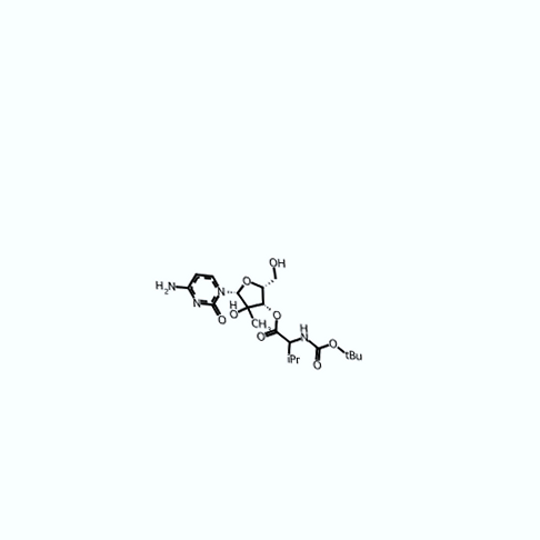 CC(C)C(NC(=O)OC(C)(C)C)C(=O)O[C@H]1[C@@H](CO)O[C@@H](n2ccc(N)nc2=O)C1(C)O